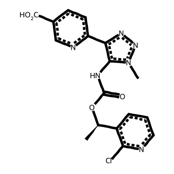 C[C@@H](OC(=O)Nc1c(-c2ccc(C(=O)O)cn2)nnn1C)c1cccnc1Cl